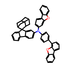 c1ccc2c(c1)-c1ccc(N(c3ccc(-c4cccc5c4oc4ccccc45)cc3)c3ccc4c(c3)oc3ccccc34)cc1C21C2CC3CC(C2)CC1C3